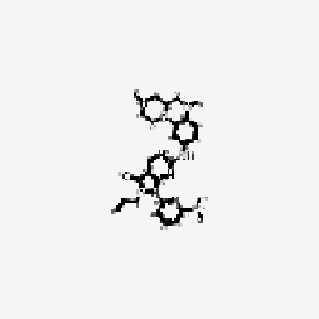 C=CCn1c(=O)c2cnc(Nc3ccc4c(c3)N3CCN(C)CC3CN4C)nc2n1-c1cccc(P(C)C)n1